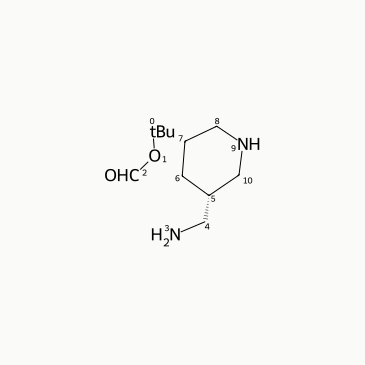 CC(C)(C)OC=O.NC[C@@H]1CCCNC1